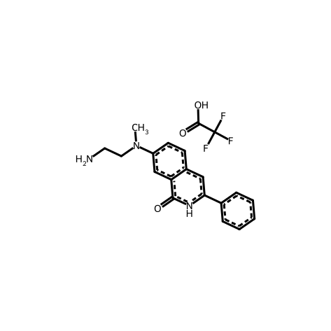 CN(CCN)c1ccc2cc(-c3ccccc3)[nH]c(=O)c2c1.O=C(O)C(F)(F)F